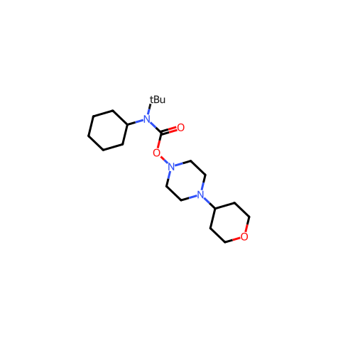 CC(C)(C)N(C(=O)ON1CCN(C2CCOCC2)CC1)C1CCCCC1